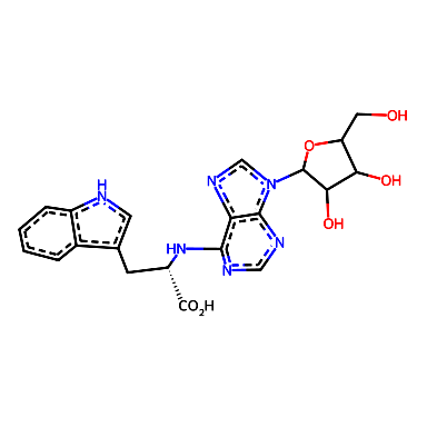 O=C(O)[C@H](Cc1c[nH]c2ccccc12)Nc1ncnc2c1ncn2C1OC(CO)C(O)C1O